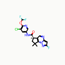 CC1(C)C[C@@H](C(=O)Nc2cnc(OC(F)F)c(Cl)c2)c2cnc3cc(F)nn3c21